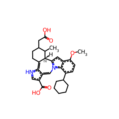 COc1ccc(C2CCCCC2)c2c1cc1n2C=c2c(C(=O)O)c[nH]c2=C2CCC(CC(=O)O)C(C)[C@@H]21